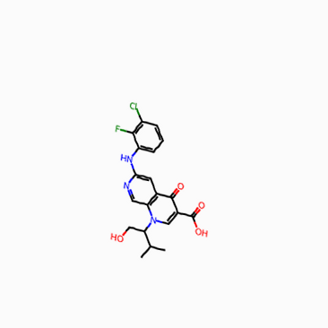 CC(C)C(CO)n1cc(C(=O)O)c(=O)c2cc(Nc3cccc(Cl)c3F)ncc21